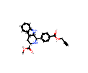 C#CCOC(=O)c1ccc([C@H]2N[C@@H](C(=O)OC)Cc3c2[nH]c2ccccc32)cc1